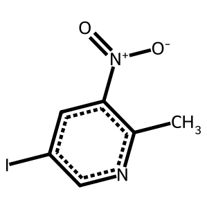 Cc1ncc(I)cc1[N+](=O)[O-]